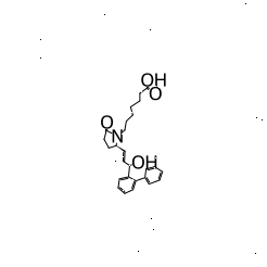 O=C(O)CCCCCCN1C(=O)CC[C@@H]1/C=C/C(O)c1ccccc1-c1ccccc1